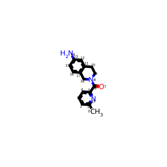 Cc1cccc(C(=O)N2CCc3cc(N)ccc3C2)n1